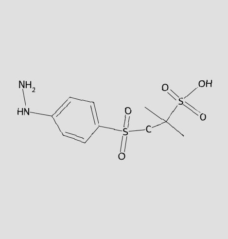 CC(C)(CS(=O)(=O)c1ccc(NN)cc1)S(=O)(=O)O